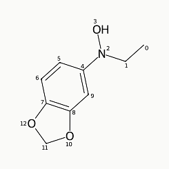 CCN(O)c1ccc2c(c1)OCO2